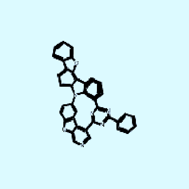 c1ccc(-c2nc(-c3ccccc3)nc(-c3cncc4oc5ccc(-n6c7ccccc7c7c8oc9ccccc9c8ccc76)cc5c34)n2)cc1